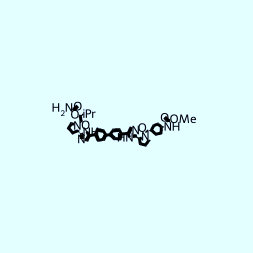 COC(=O)N[C@H]1CC[C@@H](C(=O)N2CCC[C@H]2c2ncc(-c3ccc(-c4ccc(-c5cnc([C@@H]6CCCN6C(=O)[C@@H](OC(N)=O)C(C)C)[nH]5)cc4)cc3)[nH]2)CC1